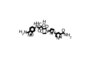 CC(O)(C(=O)Nc1ccc2c(N)noc2c1)C1OCCN(c2ccn(-c3cnnc(C(N)=O)c3)n2)C1=O